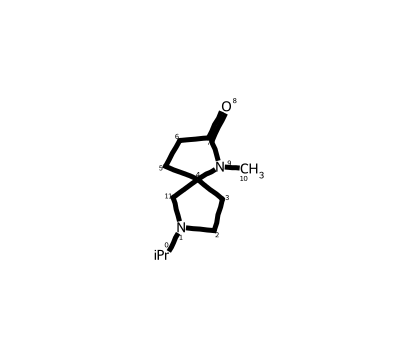 CC(C)N1CCC2(CCC(=O)N2C)C1